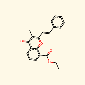 CCOC(=O)c1cccc2c(=O)c(C)c(/C=C/c3ccccc3)oc12